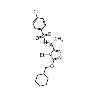 CCn1c(OCC2CCCCC2)nnc1[C@@H](C)NS(=O)(=O)c1ccc(Cl)cc1